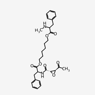 CNC(Cc1ccccc1)C(=O)OCCCCCCOC(=O)C(Cc1ccccc1)NC(=O)[C@H]1O[C@@H]1C(C)=O